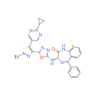 CCc1nc(-c2nnc(N[C@@H]3N=C(c4ccccc4)c4cccc(F)c4NC3=O)o2)c(-c2cnc(C3CC3)nc2)s1